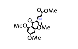 COC(=O)/C=C/C(=O)C(=O)c1c(OC)cc(OC)cc1OC